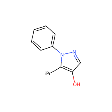 CC(C)c1c(O)cnn1-c1ccccc1